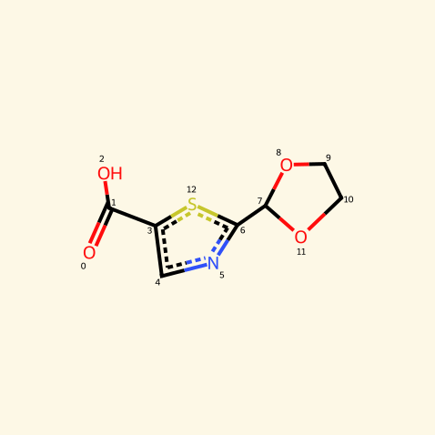 O=C(O)c1cnc(C2OCCO2)s1